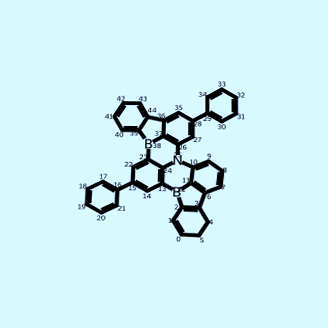 C1=CC2=C(CC1)c1cccc3c1B2c1cc(-c2ccccc2)cc2c1N3c1cc(-c3ccccc3)cc3c1B2c1ccccc1-3